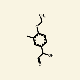 CCOc1ccc(C(O)C=O)cc1I